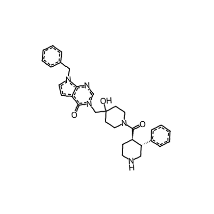 O=C([C@@H]1CCNC[C@H]1c1ccccc1)N1CCC(O)(Cn2cnc3c(ccn3Cc3ccccc3)c2=O)CC1